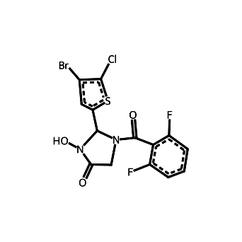 O=C1CN(C(=O)c2c(F)cccc2F)C(c2cc(Br)c(Cl)s2)N1O